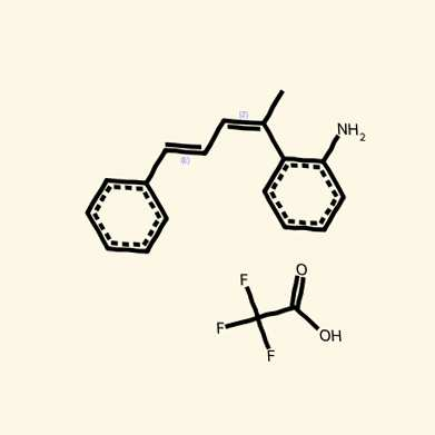 C/C(=C/C=C/c1ccccc1)c1ccccc1N.O=C(O)C(F)(F)F